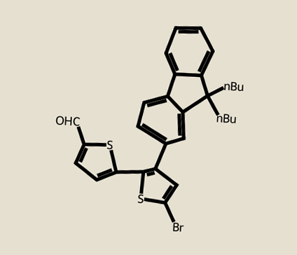 CCCCC1(CCCC)c2ccccc2-c2ccc(-c3cc(Br)sc3-c3ccc(C=O)s3)cc21